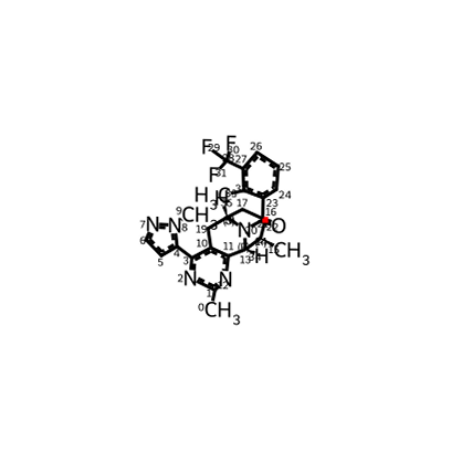 Cc1nc(-c2ccnn2C)c2c(n1)[C@H]1[C@H](C)CC[C@@H](C2)N1C(=O)c1cccc(C(F)(F)F)c1C